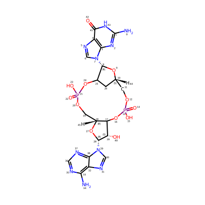 Nc1nc2c(ncn2[C@@H]2O[C@@H]3COP(=O)(O)OC4[C@@H](COP(=O)(O)OC2C3)O[C@@H](n2cnc3c(N)ncnc32)[C@H]4O)c(=O)[nH]1